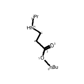 CCCCOC(=O)CCNC(C)C